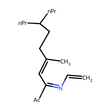 C=C/N=C(\C=C(/C)CCC(CCC)CCC)C(C)=O